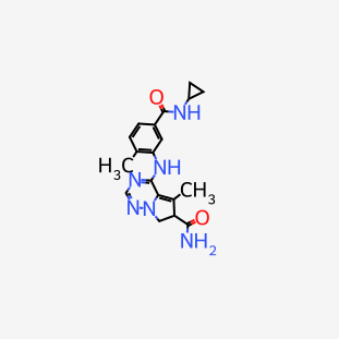 CC1=C2C(Nc3cc(C(=O)NC4CC4)ccc3C)=NC=NN2CC1C(N)=O